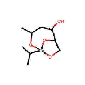 CC1CC(O)C2CO[Si](C(C)C)(O1)O2